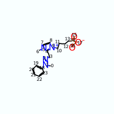 CN(/N=C/c1n(C)cc[n+]1CCCCS(=O)(=O)[O-])c1ccccc1